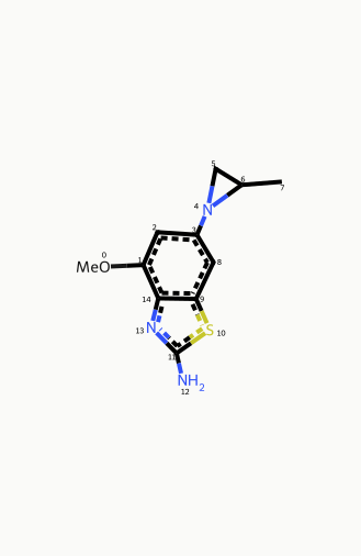 COc1cc(N2CC2C)cc2sc(N)nc12